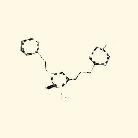 CCCn1c(CCCc2ccc(O)cc2)cn(CCc2ccccc2)c1=O